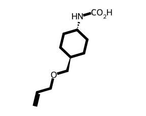 C=CCOC[C@H]1CC[C@H](NC(=O)O)CC1